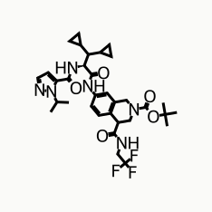 CC(C)n1nccc1C(=O)N[C@H](C(=O)Nc1ccc2c(c1)CN(C(=O)OC(C)(C)C)CC2C(=O)NCC(F)(F)F)C(C1CC1)C1CC1